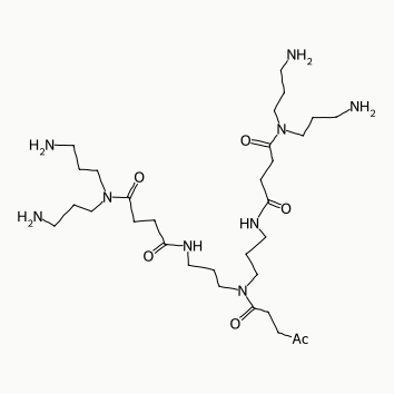 CC(=O)CCC(=O)N(CCCNC(=O)CCC(=O)N(CCCN)CCCN)CCCNC(=O)CCC(=O)N(CCCN)CCCN